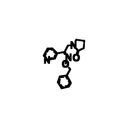 O=C1CCCN1CC(=NOCc1ccccc1)c1cccnc1